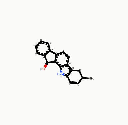 CC(C)(C)C1C=Cc2[nH]c3c4c(ccc3c2C1)-c1ccccc1C4=O